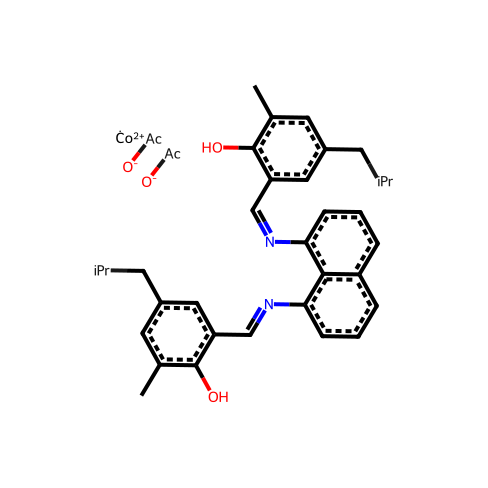 CC(=O)[O-].CC(=O)[O-].Cc1cc(CC(C)C)cc(C=Nc2cccc3cccc(N=Cc4cc(CC(C)C)cc(C)c4O)c23)c1O.[Co+2]